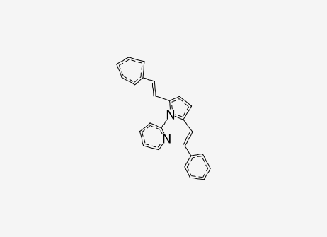 C(=Cc1ccc(C=Cc2ccccc2)n1-c1ccccn1)c1ccccc1